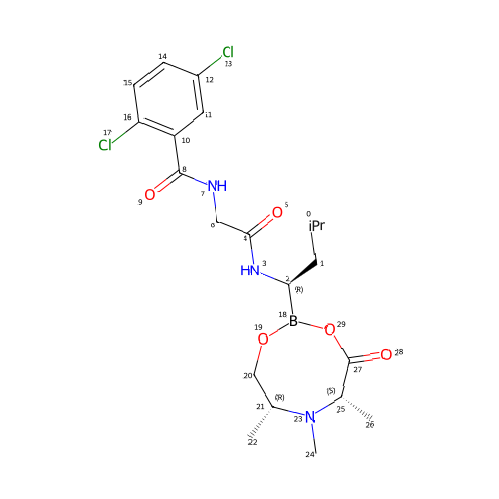 CC(C)C[C@H](NC(=O)CNC(=O)c1cc(Cl)ccc1Cl)B1OC[C@@H](C)N(C)[C@@H](C)C(=O)O1